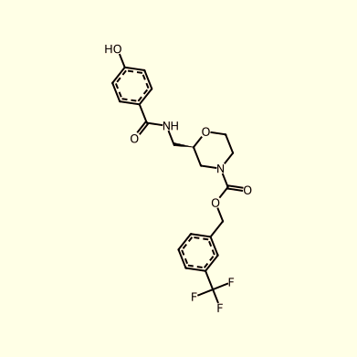 O=C(NC[C@@H]1CN(C(=O)OCc2cccc(C(F)(F)F)c2)CCO1)c1ccc(O)cc1